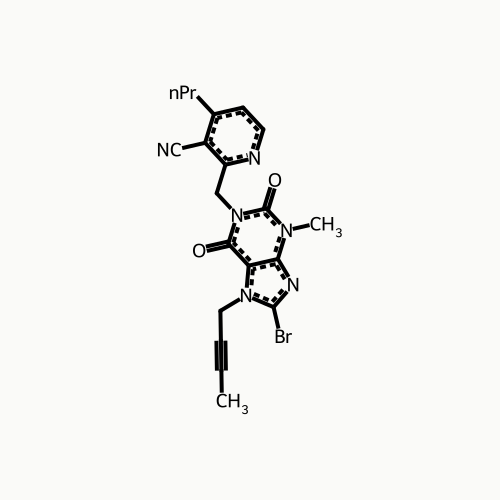 CC#CCn1c(Br)nc2c1c(=O)n(Cc1nccc(CCC)c1C#N)c(=O)n2C